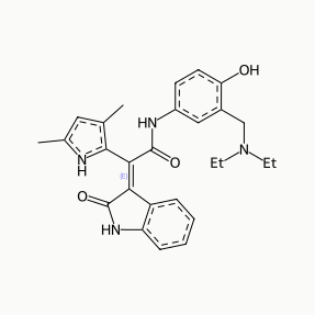 CCN(CC)Cc1cc(NC(=O)/C(=C2/C(=O)Nc3ccccc32)c2[nH]c(C)cc2C)ccc1O